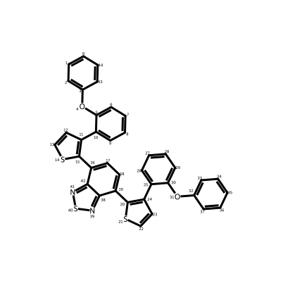 c1ccc(Oc2ccccc2-c2ccsc2-c2ccc(-c3sccc3-c3ccccc3Oc3ccccc3)c3nsnc23)cc1